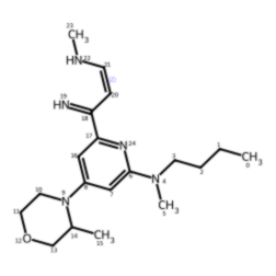 CCCCN(C)c1cc(N2CCOCC2C)cc(C(=N)/C=C\NC)n1